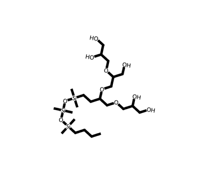 CCCC[Si](C)(C)O[Si](C)(C)O[Si](C)(C)CCC(COCC(O)CO)OCC(CO)OCC(O)CO